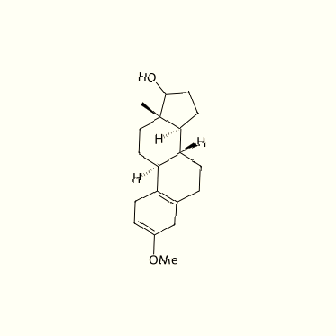 COC1=CCC2=C(CC[C@@H]3[C@@H]2CC[C@]2(C)C(O)CC[C@@H]32)C1